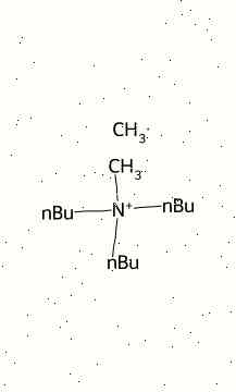 CCCC[N+](C)(CCCC)CCCC.[CH3]